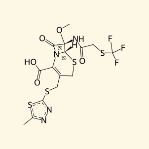 CO[C@@]1(NC(=O)CSC(F)(F)F)C(=O)N2C(C(=O)O)=C(CSc3nnc(C)s3)CS[C@H]21